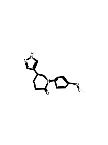 O=C1CCC(c2cn[nH]c2)CN1c1ccc(OC(F)(F)F)cc1